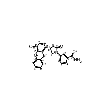 NC(=O)c1cccc(N2C[C@@H](c3ccc(Cl)c(Oc4ccccc4Br)c3)CC2=O)c1